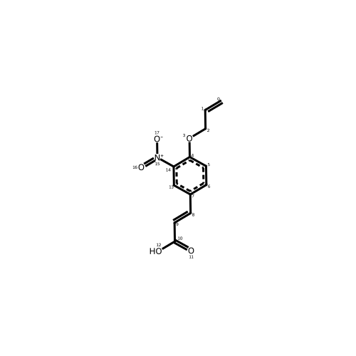 C=CCOc1ccc(C=CC(=O)O)cc1[N+](=O)[O-]